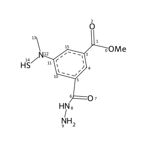 COC(=O)c1cc(C(=O)NN)cc(N(C)S)c1